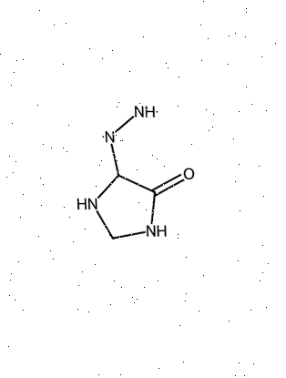 [NH][N]C1NCNC1=O